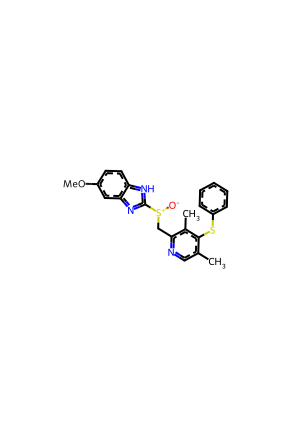 COc1ccc2[nH]c([S+]([O-])Cc3ncc(C)c(Sc4ccccc4)c3C)nc2c1